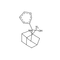 CC12CC3CC(C1)C(C(O)c1ccccc1)C(C3)N2